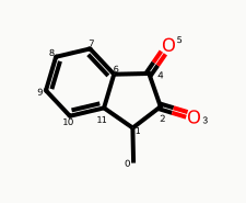 CC1C(=O)C(=O)c2ccccc21